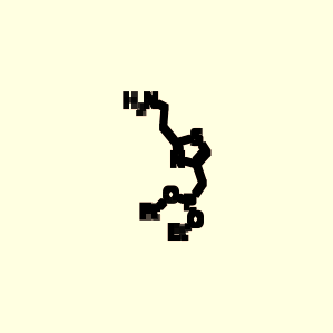 CCOP(Cc1csc(CCN)n1)OCC